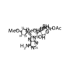 B[PH]1(OCOC(C)=O)OC[C@H]2O[C@@H](n3c(Sc4ccc(OC)cc4)nc4c(N)ncnc43)C(OC)[C@@H]2O1